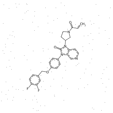 C=CC(=O)N1CCC(n2c(=O)n(-c3ccc(OCc4ccc(F)c(F)c4)cc3)c3cnccc32)C1